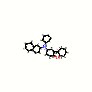 c1ccc(N(c2ccc3ccccc3c2)c2ccc3oc4ccccc4c3c2)cc1